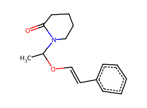 CC(OC=Cc1ccccc1)N1CCCCC1=O